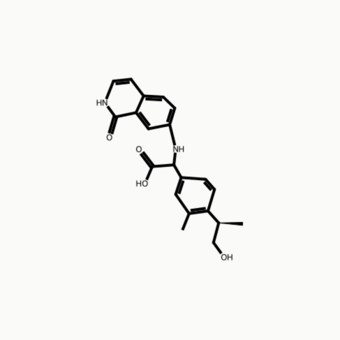 Cc1cc(C(Nc2ccc3cc[nH]c(=O)c3c2)C(=O)O)ccc1[C@@H](C)CO